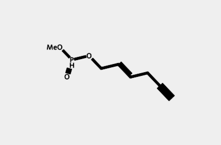 C#CCC=CCO[PH](=O)OC